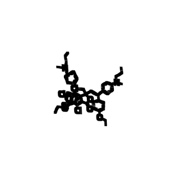 CCCN(C)c1ccc(C(=CC2(C=C(c3ccc(OCC)cc3)c3ccc(N(C)CCC)cc3)OC(=O)c3c(Cl)c(Cl)c(Cl)c(Cl)c32)c2ccc(OCC)cc2)cc1